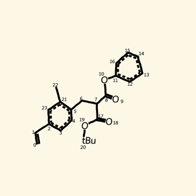 C=Cc1ccc(CC(C(=O)Oc2ccccc2)C(=O)OC(C)(C)C)c(C)c1